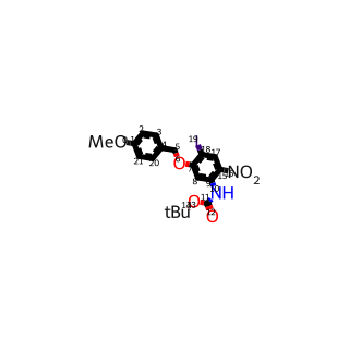 COc1ccc(COc2cc(NC(=O)OC(C)(C)C)c([N+](=O)[O-])cc2I)cc1